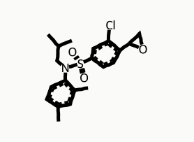 Cc1ccc(N(CC(C)C)S(=O)(=O)c2ccc(C3CO3)c(Cl)c2)c(C)c1